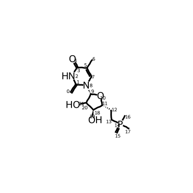 C=C1NC(=O)C(C)=CN1[C@@H]1O[C@H](CCP(=C)(C)C)[C@@H](O)C1O